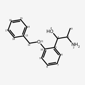 CC(N)C(O)c1ccccc1OCc1ccccc1